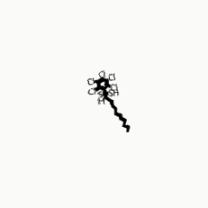 CCCCCCCCCCCC(S)(S)c1c(Cl)c(Cl)c(Cl)c(Cl)c1Cl